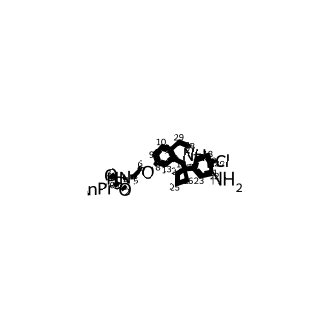 CCCS(=O)(=O)NCCOc1ccc2c(c1)C(C1(c3ccc(Cl)c(N)c3)CCC1)NCC2